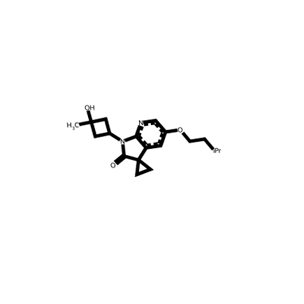 CC(C)CCOc1cnc2c(c1)C1(CC1)C(=O)N2C1CC(C)(O)C1